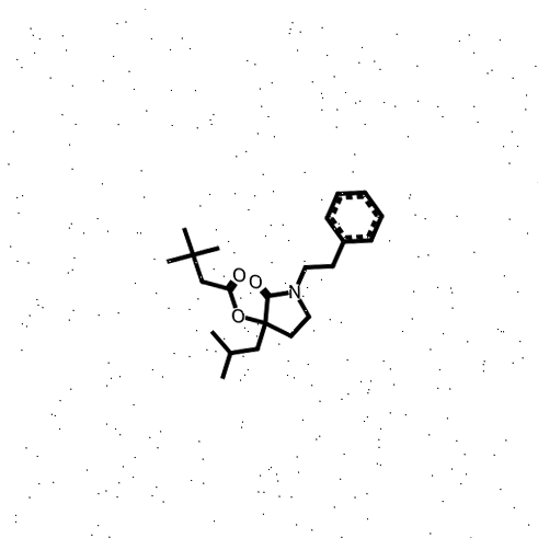 CC(C)CC1(OC(=O)CC(C)(C)C)CCN(CCc2ccccc2)C1=O